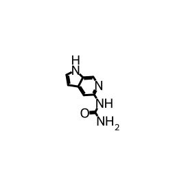 NC(=O)Nc1cc2cc[nH]c2cn1